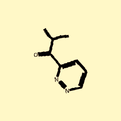 CC(C)C(=O)c1cccnn1